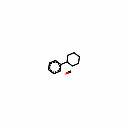 C=O.c1ccc(C2CCCCC2)cc1